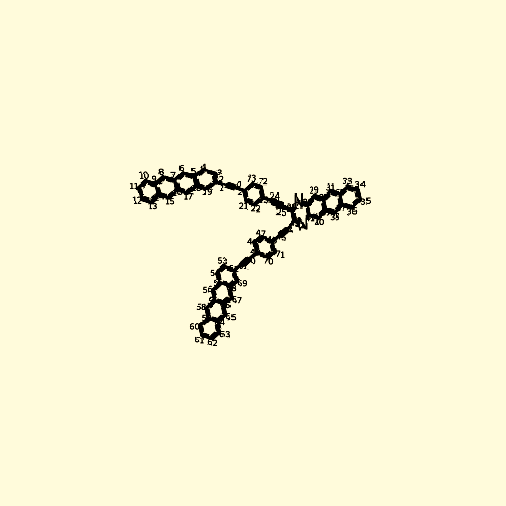 C(#Cc1ccc2cc3cc4ccccc4cc3cc2c1)c1ccc(C#Cc2nc3cc4cc5ccccc5cc4cc3nc2C#Cc2ccc(C#Cc3ccc4cc5cc6ccccc6cc5cc4c3)cc2)cc1